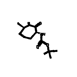 C[C@@H]1CCC[C@@H](NC(=O)OC(C)(C)C)C(=O)N1